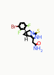 NC(=O)Cc1[nH]c(=S)n2c1[C@@H]1C[C@]1(c1c(F)ccc(Br)c1F)C2